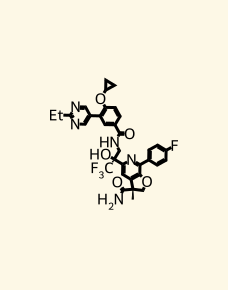 CCc1ncc(-c2cc(C(=O)NC[C@](O)(c3cc4c(c(-c5ccc(F)cc5)n3)OC[C@]4(C)C(N)=O)C(F)(F)F)ccc2OC2CC2)cn1